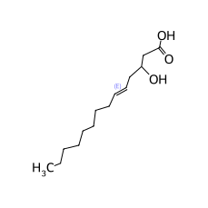 CCCCCCCC/C=C/CC(O)CC(=O)O